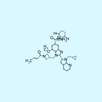 C/C=C/C(=O)N1CC(Cn2c(-c3cc4cccnc4n3CC3CC3)nc3cc(C(=O)N4C[C@H]5CC[C@@H]4[C@@H]5N)cc(OC)c32)C1